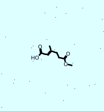 COC(=O)CCC(C)=CC(=O)O